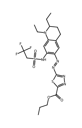 CCCOC(=O)c1nnc(N=Nc2cc3c(cc2NS(=O)(=O)CC(F)(F)F)N(CC)C(CC)CC3)s1